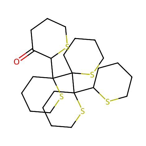 O=C1CCCSC1C1(C2(C3(C4CCCCS4)CCCCS3)CCCCS2)CCCCS1